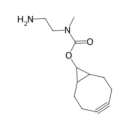 CN(CCN)C(=O)OC1C2CCC#CCCC21